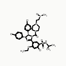 CCOc1cc(Cl)c(S(=O)(=O)NC(C)C)cc1C1=N[C@@H](c2ccc(Cl)cc2)[C@@H](c2ccc(Cl)cc2)N1C(=O)N1CCN(CC[S+](C)[O-])CC1